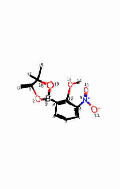 C=C1OB(c2cccc([N+](=O)[O-])c2OC)OC1(C)C